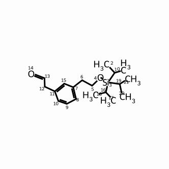 CC(C)[Si](OCCc1cccc(CC=O)c1)(C(C)C)C(C)C